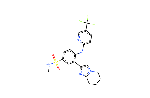 CNS(=O)(=O)c1ccc(Nc2ccc(C(F)(F)F)cn2)c(-c2cn3c(n2)CCCC3)c1